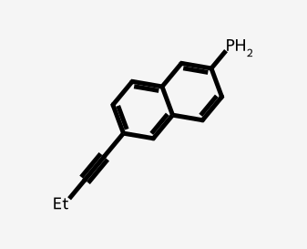 CCC#Cc1ccc2cc(P)ccc2c1